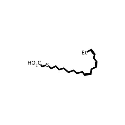 CC/C=C\C/C=C\C/C=C\CCCCCCCCSCC(=O)O